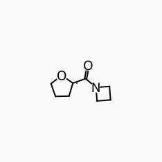 O=C([C]1CCCO1)N1CCC1